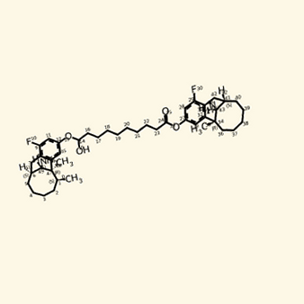 C[C@H]1CCCC[C@H]2Cc3c(F)cc(OC(O)CCCCCCCCC(=O)Oc4cc(F)c5c(c4)[C@@]4(C)CCCCC[C@@H](C5)[C@@H]4N)cc3[C@]1(C)[C@H]2N